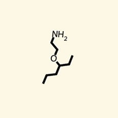 CCCC(CC)OCCN